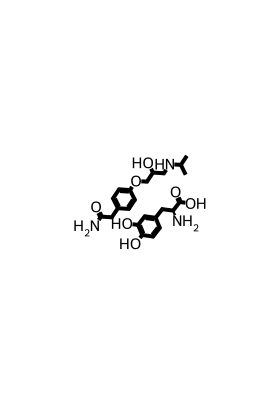 CC(C)NCC(O)COc1ccc(CC(N)=O)cc1.N[C@@H](Cc1ccc(O)c(O)c1)C(=O)O